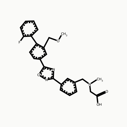 COCc1cc(-c2nc(-c3cccc(CN(C)CC(=O)O)c3)no2)ccc1-c1ccccc1F